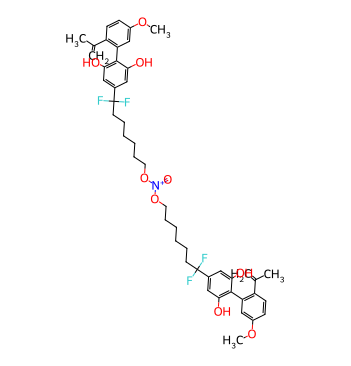 C=C(C)c1ccc(OC)cc1-c1c(O)cc(C(F)(F)CCCCCCO[N+](=O)OCCCCCCC(F)(F)c2cc(O)c(-c3cc(OC)ccc3C(=C)C)c(O)c2)cc1O